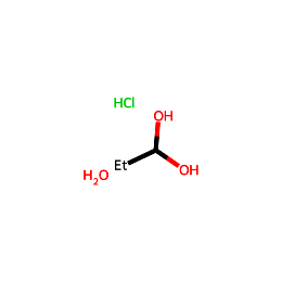 CCC(O)O.Cl.O